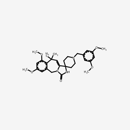 COc1cc(CN2CCC3(CC2)NC(=O)N2Cc4cc(OC)cc(OC)c4C(C)(C)C=C23)cc(OC)c1